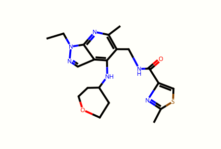 CCn1ncc2c(NC3CCOCC3)c(CNC(=O)c3csc(C)n3)c(C)nc21